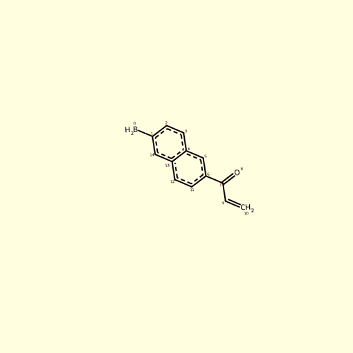 Bc1ccc2cc(C(=O)C=C)ccc2c1